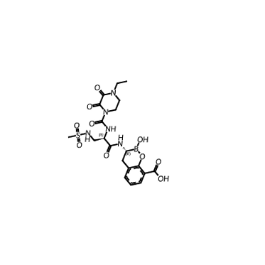 CCN1CCN(C(=O)N[C@H](CNS(C)(=O)=O)C(=O)N[C@H]2Cc3cccc(C(=O)O)c3OB2O)C(=O)C1=O